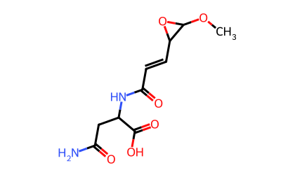 COC1OC1/C=C/C(=O)NC(CC(N)=O)C(=O)O